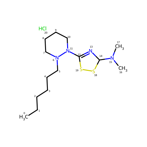 CCCCCCN1CCCCN1C1=NC(N(C)C)SS1.Cl